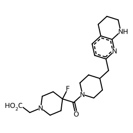 O=C(O)CN1CCC(F)(C(=O)N2CCC(Cc3ccc4c(n3)NCCC4)CC2)CC1